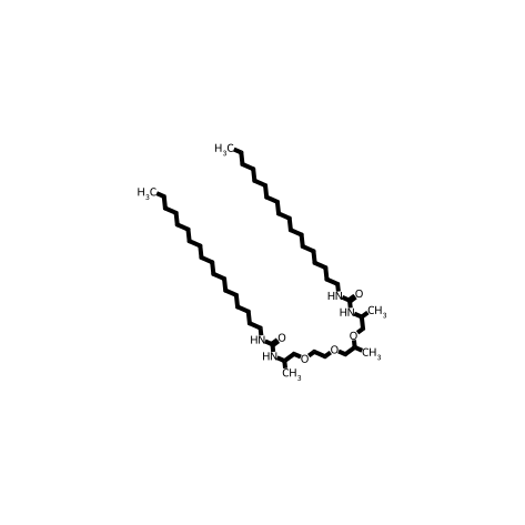 CCCCCCCCCCCCCCCCCCNC(=O)NC(C)COCCOCC(C)OCC(C)NC(=O)NCCCCCCCCCCCCCCCCCC